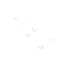 [2H]c1cnn(CC2(COC)COC2)c1